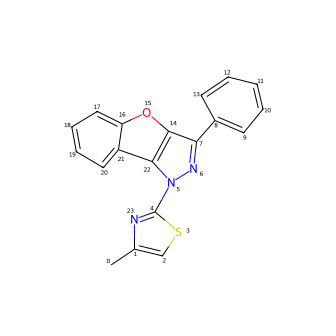 Cc1csc(-n2nc(-c3ccccc3)c3oc4ccccc4c32)n1